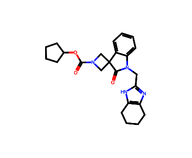 O=C(OC1CCCC1)N1CC2(C1)C(=O)N(Cc1nc3c([nH]1)CCCC3)c1ccccc12